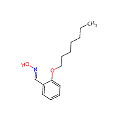 CCCCCCCOc1ccccc1C=NO